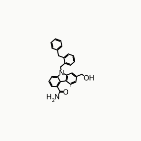 NC(=O)c1cccc2c1c1[c]cc(CO)cc1n2Cc1ccccc1Cc1ccccc1